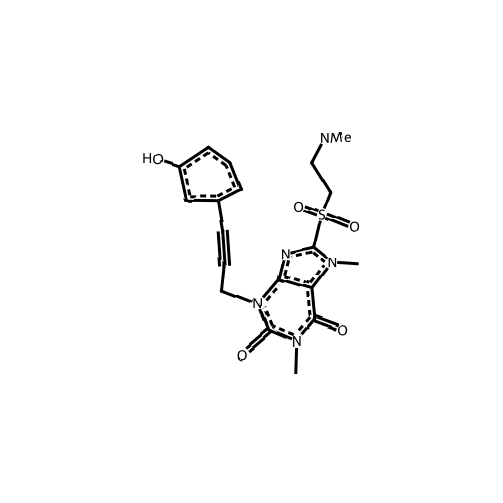 CNCCS(=O)(=O)c1nc2c(c(=O)n(C)c(=O)n2CC#Cc2cccc(O)c2)n1C